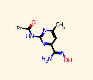 Cc1cc(C(N)=NO)nc(NC(=O)C(C)C)n1